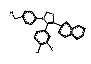 NCc1ccc(N2CSC(c3ccc4ccccc4c3)=C2c2ccc(Cl)c(Cl)c2)cc1